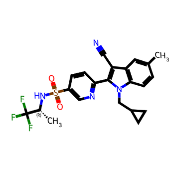 Cc1ccc2c(c1)c(C#N)c(-c1ccc(S(=O)(=O)N[C@H](C)C(F)(F)F)cn1)n2CC1CC1